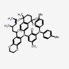 C=C(CC(C)/C=C\C)c1cc2c(cc1N(c1ccc3c(c1)C(C)(C)CCC3(C)C)c1cc(C)cc(N(c3ccc(C(C)(C)C)cc3)c3ccc(C(C)(C)C)cc3)c1Cl)OCCO2